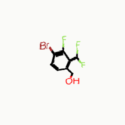 OCc1ccc(Br)c(F)c1C(F)F